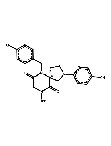 CC(C)N1CC(=O)N(Cc2ccc(Cl)cc2)[C@]2(CCN(c3ccc(C#N)cn3)C2)C1=O